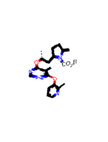 CCOC(=O)N1C(C)CCC1C[C@@H](C)Oc1ncnc(Oc2cccnc2C)c1C